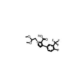 COC(Cn1ccc(-c2ccc(F)c(C(F)(F)F)c2)c1C(=O)O)OC